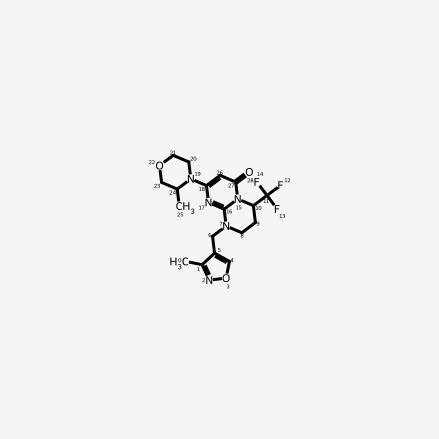 Cc1nocc1CN1CCC(C(F)(F)F)n2c1nc(N1CCOCC1C)cc2=O